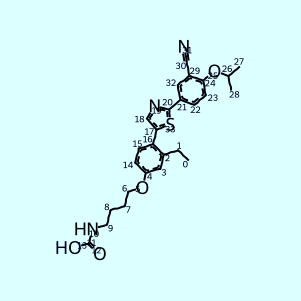 CCc1cc(OCCCCNC(=O)O)ccc1-c1cnc(-c2ccc(OC(C)C)c(C#N)c2)s1